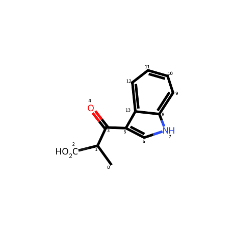 CC(C(=O)O)C(=O)c1c[nH]c2ccccc12